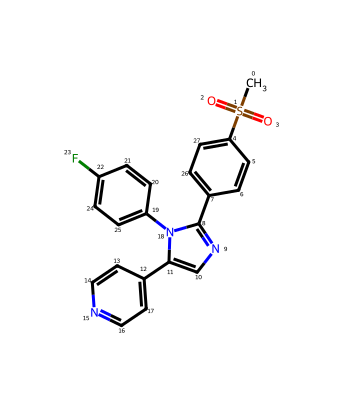 CS(=O)(=O)c1ccc(-c2ncc(-c3ccncc3)n2-c2ccc(F)cc2)cc1